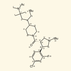 CC(=O)N(C)C(C)(C)CC(CC(C)(C)C)C1CCN(C(=O)[C@@H]2CN(C(C)(C)C)C[C@H]2c2ccc(Cl)cc2F)CC1